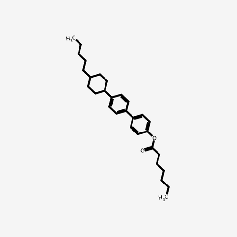 CCCCCCC(=O)Oc1ccc(-c2ccc(C3CCC(CCCCC)CC3)cc2)cc1